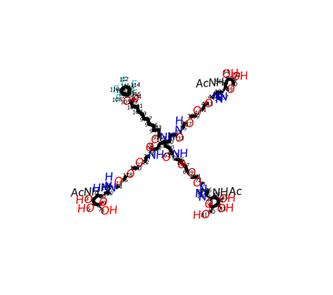 CC(=O)N[C@@H]1[C@@H](O)[C@@H](O)[C@@H](CO)O[C@H]1C1=CN(COCCOCCOCCNC(=O)CCC(CCC(=O)NCCOCCOCCOCn2cc([C@@H]3OC[C@H](O)[C@H](O)[C@H]3NC(C)=O)nn2)(CCC(=O)NCCOCCOCCOCn2cc([C@@H]3O[C@H](CO)[C@H](O)[C@H](O)[C@H]3NC(C)=O)nn2)NC(=O)CCCCCCCCCCC(=O)Oc2c(F)c(F)c(F)c(F)c2F)NN1